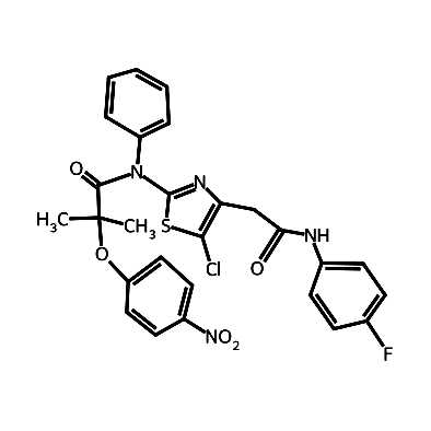 CC(C)(Oc1ccc([N+](=O)[O-])cc1)C(=O)N(c1ccccc1)c1nc(CC(=O)Nc2ccc(F)cc2)c(Cl)s1